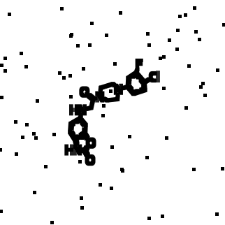 O=C(CNc1ccc2[nH]c(=O)oc2c1)N1CCN(c2ccc(Cl)c(F)c2)CC1